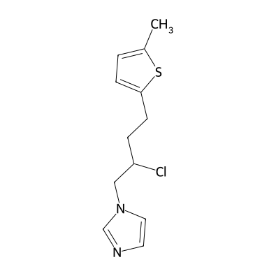 Cc1ccc(CCC(Cl)Cn2ccnc2)s1